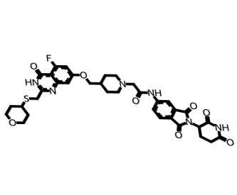 O=C1CCC(N2C(=O)c3ccc(NC(=O)CN4CCC(COc5cc(F)c6c(=O)[nH]c(CSC7CCOCC7)nc6c5)CC4)cc3C2=O)C(=O)N1